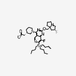 CCC[CH2][Sn]([CH2]CCC)([CH2]CCC)[c]1ncc2c(N3CCC[C@@H](CC(=O)[O-])C3)nc(OC[C@@]34CCCN3C[C@H](F)C4)nc2c1F